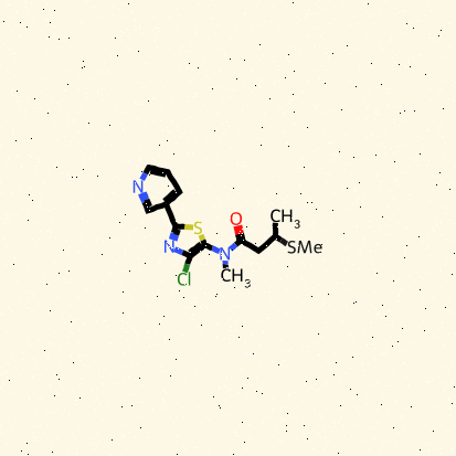 CSC(C)CC(=O)N(C)c1sc(-c2cccnc2)nc1Cl